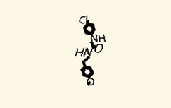 COc1ccc(CCNC(=O)CNc2ccc(Cl)cc2)cc1